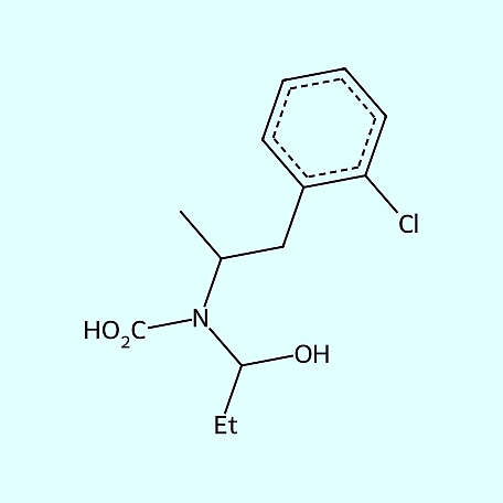 CCC(O)N(C(=O)O)C(C)Cc1ccccc1Cl